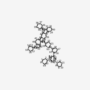 c1ccc(-c2nc(-c3ccccc3)nc(-c3cccc(-c4ccc(-n5c6cc7c8ccccc8n(-c8ccccc8)c7cc6c6ccc7c(ccn7-c7ccccc7)c65)cc4)c3)n2)cc1